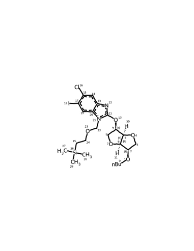 CCCCO[C@@H]1CO[C@H]2[C@@H]1OC[C@H]2Oc1nc2cc(Cl)c(I)cc2n1COCC[Si](C)(C)C